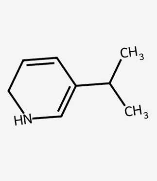 CC(C)C1=CNCC=C1